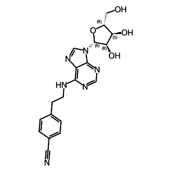 N#Cc1ccc(CCNc2ncnc3c2ncn3[C@@H]2O[C@H](CO)[C@@H](O)[C@H]2O)cc1